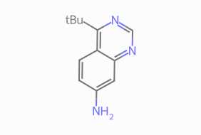 CC(C)(C)c1ncnc2cc(N)ccc12